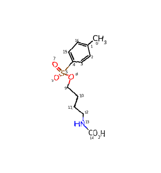 Cc1ccc(S(=O)(=O)OCCCCNC(=O)O)cc1